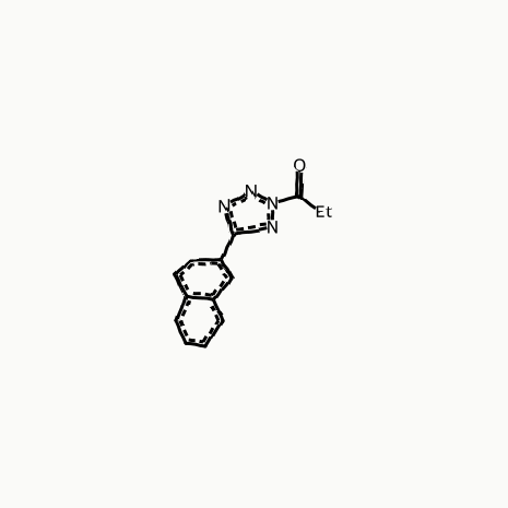 CCC(=O)n1nnc(-c2ccc3ccccc3c2)n1